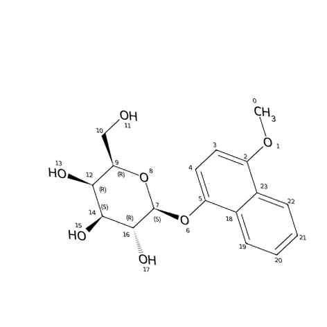 COc1ccc(O[C@@H]2O[C@H](CO)[C@H](O)[C@H](O)[C@H]2O)c2ccccc12